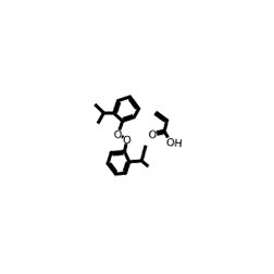 C=CC(=O)O.CC(C)c1ccccc1OOc1ccccc1C(C)C